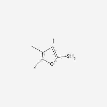 Cc1oc([SiH3])c(C)c1C